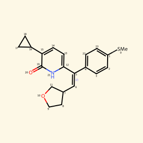 CSc1ccc(/C(=C/C2CCOC2)c2ccc(C3CC3)c(=O)[nH]2)cc1